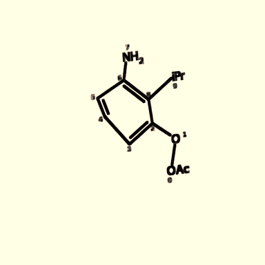 CC(=O)OOc1cccc(N)c1C(C)C